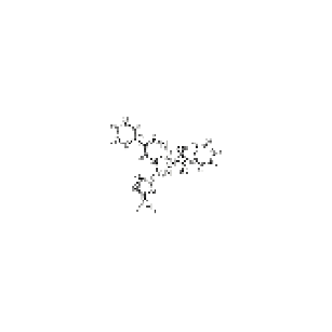 Cn1cc(-c2nn(S(=O)(=O)c3ccccc3)c3ncc(-c4ccccc4)cc23)cn1